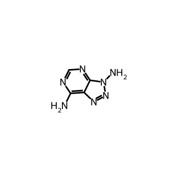 Nc1ncnc2c1nnn2N